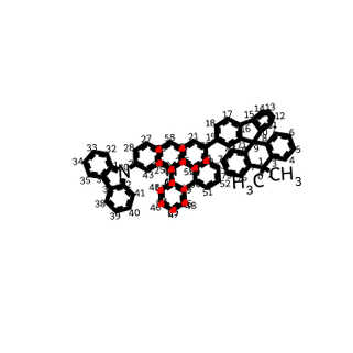 CC1(C)c2ccccc2C2(c3ccccc3-c3ccc(-c4ccc(N(c5cccc(-n6c7ccccc7c7ccccc76)c5)c5ccccc5-c5ccccc5-c5ccccc5-c5ccccc5)cc4)cc32)c2ccccc21